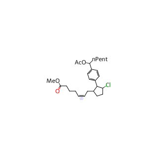 CCCCCC(OC(C)=O)c1ccc(C2C(Cl)CCC2C/C=C\CCCC(=O)OC)cc1